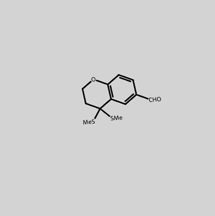 CSC1(SC)CCOc2ccc(C=O)cc21